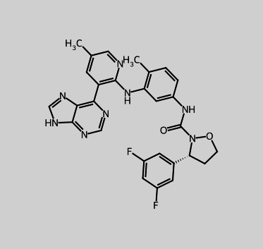 Cc1cnc(Nc2cc(NC(=O)N3OCC[C@@H]3c3cc(F)cc(F)c3)ccc2C)c(-c2ncnc3[nH]cnc23)c1